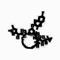 Cc1nc2ccc(F)cc2nc1O[C@@H]1C[C@H]2C(=O)N[C@]3(C(=O)NS(=O)(=O)C4(C)CC4)C[C@H]3C=CCCCCC[C@H](NC(=O)c3cc(C)n(C)n3)C(=O)N2C1